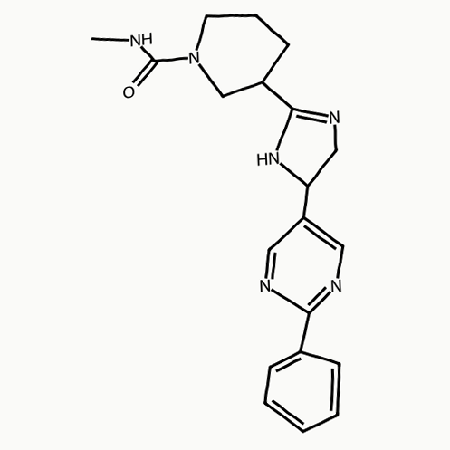 CNC(=O)N1CCCC(C2=NCC(c3cnc(-c4ccccc4)nc3)N2)C1